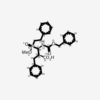 CO[P@@](=O)(CCc1ccccc1)[C@@H](NC(=O)OCc1ccccc1)[C@H](Cc1ccccc1)C(=O)O